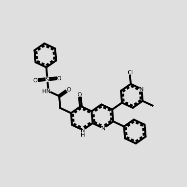 Cc1cc(-c2cc3c(=O)c(CC(=O)NS(=O)(=O)c4ccccc4)c[nH]c3nc2-c2ccccc2)cc(Cl)n1